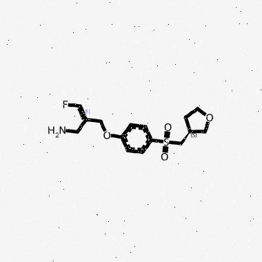 NC/C(=C\F)COc1ccc(S(=O)(=O)C[C@H]2CCOC2)cc1